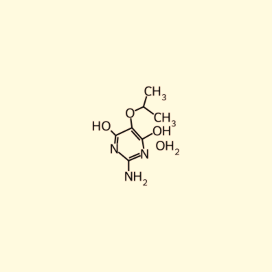 CC(C)Oc1c(O)nc(N)nc1O.O